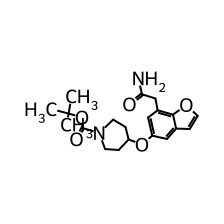 CC(C)(C)OC(=O)N1CCC(Oc2cc(CC(N)=O)c3occc3c2)CC1